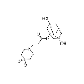 O=C(CCN1CCS(=O)(=O)CC1)OC12CC3CC(O)(CC(O)(C3)C1)C2